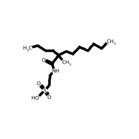 CCCCCCCC(C)(CCCC)C(=O)NCCS(=O)(=O)O